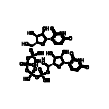 O=c1ccn([C@@H]2O[C@H](C(O)OP(=O)(O)OP(=O)(O)OP(=O)(O)OP(=O)(O)O)[C@@H](O)[C@H]2O)c(=O)[nH]1.O=c1ccn([C@@H]2O[C@H](CO)[C@@H](O)[C@H]2O)c(=O)[nH]1